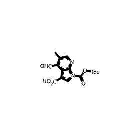 Cc1cnc2c(c(C(=O)O)cn2C(=O)OC(C)(C)C)c1C=O